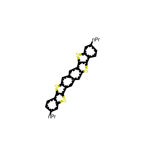 CCCc1ccc2c(c1)sc1c3cc4cc5sc6c7ccc(CCC)cc7sc6c5cc4cc3sc21